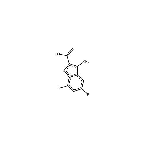 Cc1c(C(=O)O)sc2c(F)cc(F)cc12